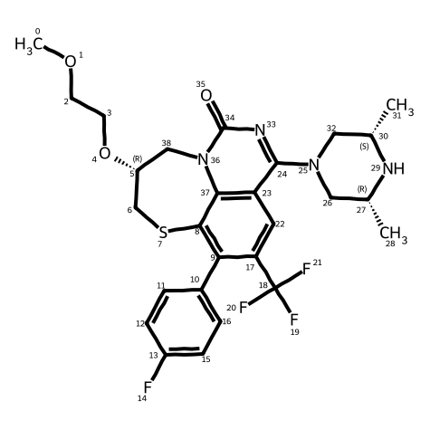 COCCO[C@H]1CSc2c(-c3ccc(F)cc3)c(C(F)(F)F)cc3c(N4C[C@@H](C)N[C@@H](C)C4)nc(=O)n(c23)C1